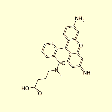 CN(CCCC(=O)O)C(=O)c1ccccc1-c1c2ccc(=N)cc-2oc2cc(N)ccc12